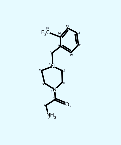 NCC(=O)N1CCN(Cc2ccccc2C(F)(F)F)CC1